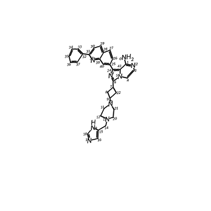 Nc1nccn2c(C3CC(N4CCN(Cc5cnc[nH]5)CC4)C3)nc(-c3ccc4ccc(-c5ccccc5)nc4c3)c12